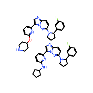 Fc1cccc(C2CCCN2c2ccc3ncc(-c4cccc(NC5CCCC5)n4)n3n2)c1.Fc1cccc(C2CCCN2c2ccc3ncc(-c4cccc(OC5CCNCC5)n4)n3n2)c1